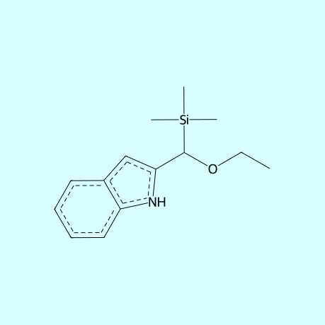 CCOC(c1cc2ccccc2[nH]1)[Si](C)(C)C